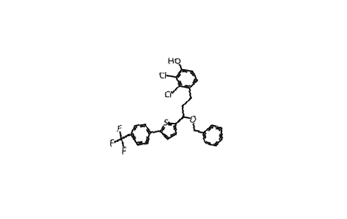 Oc1ccc(CCC(OCc2ccccc2)c2ccc(-c3ccc(C(F)(F)F)cc3)s2)c(Cl)c1Cl